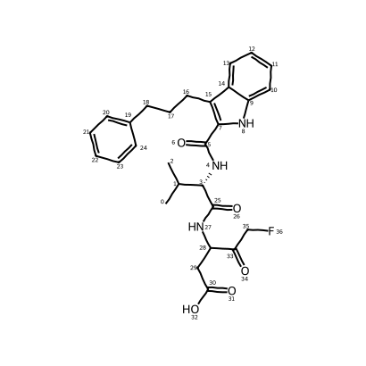 CC(C)[C@H](NC(=O)c1[nH]c2ccccc2c1CCCc1ccccc1)C(=O)NC(CC(=O)O)C(=O)CF